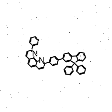 c1ccc(-c2ccc3ccc4ccc(-c5ccc(-c6ccc7c(c6)C(c6ccccc6)(c6ccccc6)c6ccccc6-7)cc5)nc4c3n2)cc1